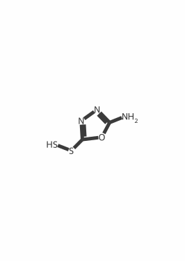 Nc1nnc(SS)o1